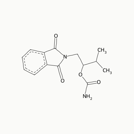 CC(C)C(CN1C(=O)c2ccccc2C1=O)OC(N)=O